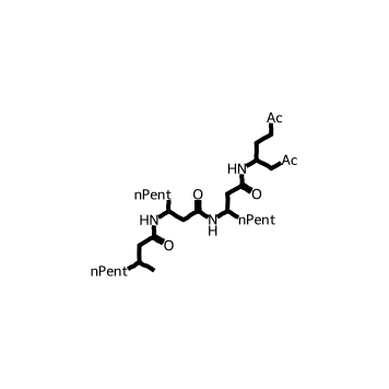 CCCCCC(C)CC(=O)NC(CCCCC)CC(=O)NC(CCCCC)CC(=O)NC(CCC(C)=O)CC(C)=O